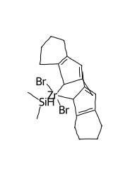 CC1=CC2=C(CCCC2)[CH]1[Zr]([Br])([Br])([CH]1C(C)=CC2=C1CCCC2)[SiH](C)C